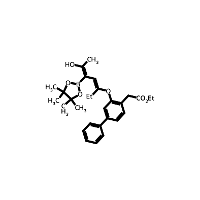 CCOC(=O)Cc1ccc(-c2ccccc2)cc1O/C(=C/C(B1OC(C)(C)C(C)(C)O1)=C(\C)O)CC